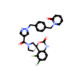 O=C1Nc2ccc(Cl)c(F)c2[C@]2(CCN(C(=O)c3cnn(Cc4ccc(Cn5ccccc5=O)cc4)c3)C2)O1